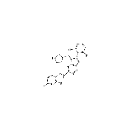 Fc1ccc(CNc2ncc3nc(-c4c(F)cccc4Cl)n(C[C@@H]4CCNC4)c3n2)c(F)c1